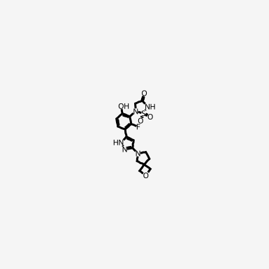 O=C1CN(c2c(O)ccc(-c3cc(N4CCC5(COC5)C4)n[nH]3)c2F)S(=O)(=O)N1